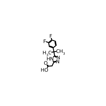 CC(C)(c1ccc(F)c(F)c1)c1nnc(CC(=O)O)[nH]1